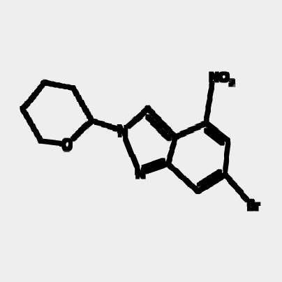 O=[N+]([O-])c1cc(Br)cc2nn(C3CCCCO3)cc12